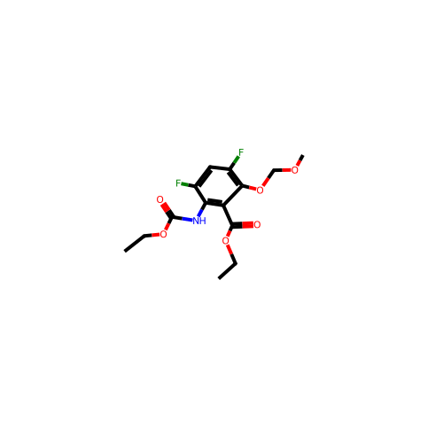 CCOC(=O)Nc1c(F)cc(F)c(OCOC)c1C(=O)OCC